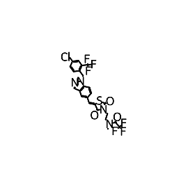 CN(CCN1C(=O)S/C(=C\c2ccc3c(cnn3Cc3ccc(Cl)cc3C(F)(F)F)c2)C1=O)C(=O)C(F)(F)F